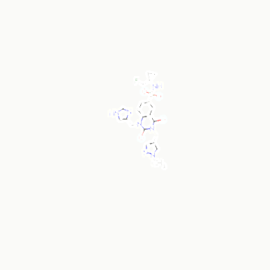 Cn1cc(Cn2c(=O)c3cc(S(=O)(=O)NC4(CF)CC4)ccc3n(Cc3c[nH]cn3)c2=O)cn1